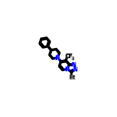 CCc1nnc2c(C(F)(F)F)c(N3CCC(c4ccccc4)CC3)ccn12